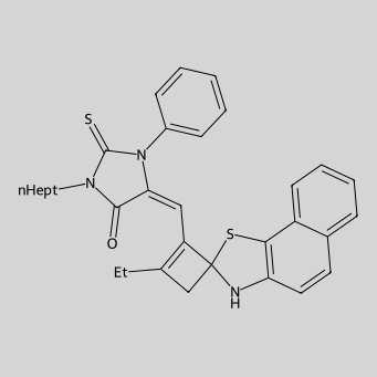 CCCCCCCN1C(=O)C(=CC2=C(CC)CC23Nc2ccc4ccccc4c2S3)N(c2ccccc2)C1=S